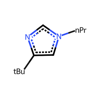 CCCn1cnc(C(C)(C)C)c1